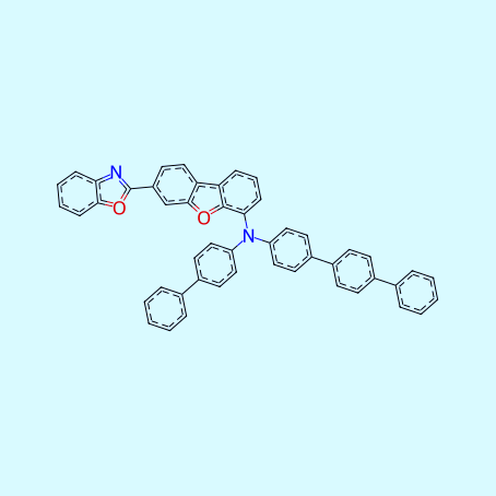 c1ccc(-c2ccc(-c3ccc(N(c4ccc(-c5ccccc5)cc4)c4cccc5c4oc4cc(-c6nc7ccccc7o6)ccc45)cc3)cc2)cc1